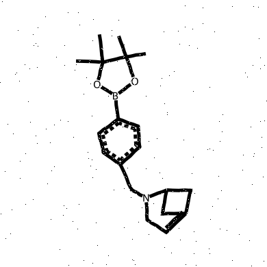 CC1(C)OB(c2ccc(CN3CC=C4CC3C4)cc2)OC1(C)C